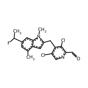 Cc1cc(C(C)F)cc2c1cc(Cc1c(Cl)cnc(C=O)c1Cl)n2C